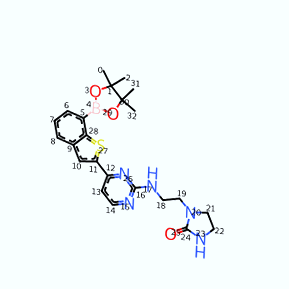 CC1(C)OB(c2cccc3cc(-c4ccnc(NCCN5CCNC5=O)n4)sc23)OC1(C)C